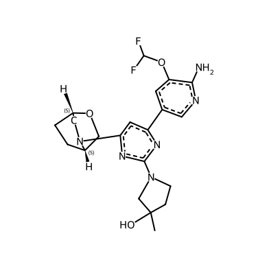 CC1(O)CCN(c2nc(-c3cnc(N)c(OC(F)F)c3)cc(N3C[C@@H]4CC[C@H]3CO4)n2)C1